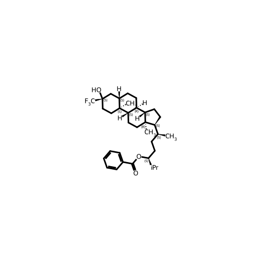 CC(C)[C@H](CC[C@H](C)[C@@H]1CC[C@H]2[C@@H]3CC[C@H]4C[C@](O)(C(F)(F)F)CC[C@]4(C)[C@H]3CC[C@@]21C)OC(=O)c1ccccc1